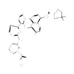 Cc1ccc2c(NC(=O)[C@@H]3CCC(F)(F)C3)cccc2c1Oc1ncccc1-c1ccnc(NC2CCCN(C(=O)OC(C)(C)C)C2)n1